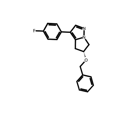 Fc1ccc(-c2cnn3c2C[C@@H](OCc2ccccc2)C3)cc1